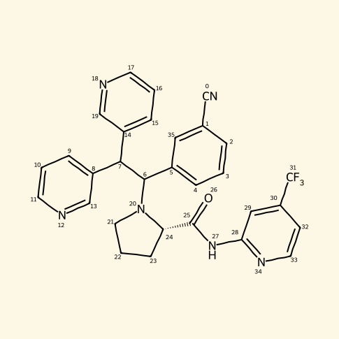 N#Cc1cccc(C(C(c2cccnc2)c2cccnc2)N2CCC[C@H]2C(=O)Nc2cc(C(F)(F)F)ccn2)c1